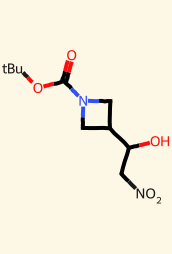 CC(C)(C)OC(=O)N1CC(C(O)C[N+](=O)[O-])C1